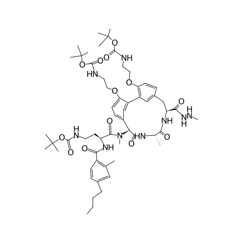 CCCCc1ccc(C(=O)N[C@@H](CCNC(=O)OC(C)(C)C)C(=O)N(C)[C@@H]2C(=O)N[C@@H](C)C(=O)N[C@H](C(=O)NNC)Cc3ccc(OCCNC(=O)OC(C)(C)C)c(c3)-c3cc2ccc3OCCNC(=O)OC(C)(C)C)c(C)c1